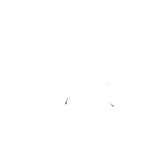 C[C@H](N)C(=O)O[C@@H](C)c1ccccc1